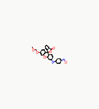 COCOc1ccc2c(c1)Oc1cc(N(C)c3ccc(N=O)cc3)ccc1C21OC(=O)c2ccccc21